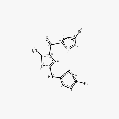 Nc1nc(Nc2ccc(F)cc2)sc1C(=O)c1cc(Br)no1